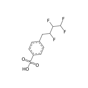 O=S(=O)(O)c1ccc(CC(F)C(F)C(F)F)cc1